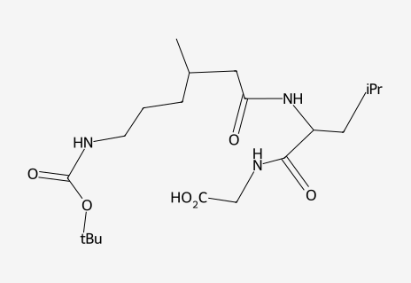 CC(C)CC(NC(=O)CC(C)CCCNC(=O)OC(C)(C)C)C(=O)NCC(=O)O